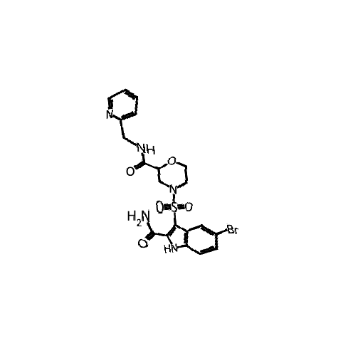 NC(=O)c1[nH]c2ccc(Br)cc2c1S(=O)(=O)N1CCOC(C(=O)NCc2ccccn2)C1